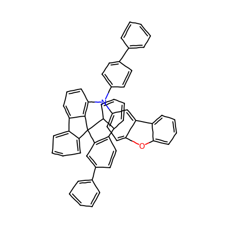 C1=CC2c3ccc(-c4ccccc4)cc3C3(c4ccccc4-c4cccc(N(c5ccc(-c6ccccc6)cc5)c5ccc6oc7ccccc7c6c5)c43)C2C=C1